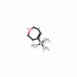 [CH3][Sn]([CH3])([CH3])[C]1=CCCOCC1